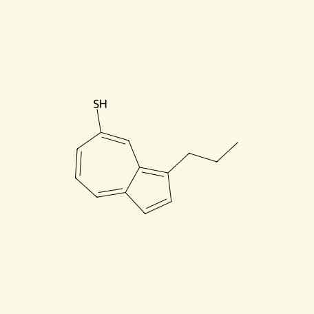 CCCc1ccc2cccc(S)cc1-2